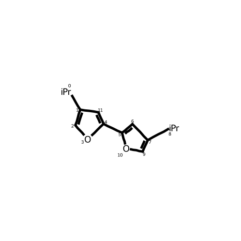 CC(C)c1coc(-c2cc(C(C)C)co2)c1